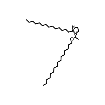 CCCCCCCCCCCCCCCCOC(C)N1CCN=C1CCCCCCCCCCCCCC